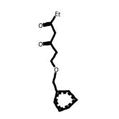 CCC(=O)CC(=O)CCOCc1ccccc1